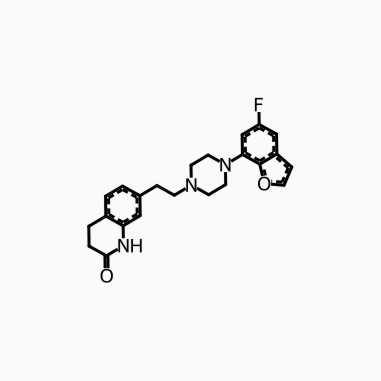 O=C1CCc2ccc(CCN3CCN(c4cc(F)cc5ccoc45)CC3)cc2N1